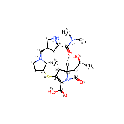 C[C@@H](O)[C@H]1C(=O)N2C(C(=O)O)=C(S[C@@H]3CCN(C[C@H]4CN[C@H](C(=O)N(C)C)C4)C3)[C@H](C)[C@H]12